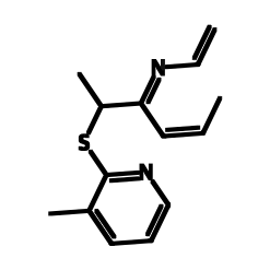 C=C/N=C(\C=C/C)C(C)Sc1ncccc1C